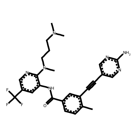 Cc1ccc(C(=O)Nc2cc(C(F)(F)F)cnc2N(C)CCCN(C)C)cc1C#Cc1cnc(N)nc1